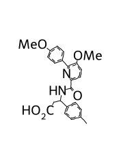 COc1ccc(-c2nc(C(=O)NC(CC(=O)O)c3ccc(C)cc3)ccc2OC)cc1